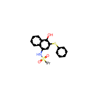 CC(C)S(=O)(=O)Nc1cc(Sc2ccccc2)c(O)c2ccccc12